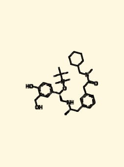 C[C@H](Cc1cccc(CC(=O)N(C)CC2CCCCC2)c1)NC[C@H](O[Si](C)(C)C(C)(C)C)c1ccc(O)c(CO)c1